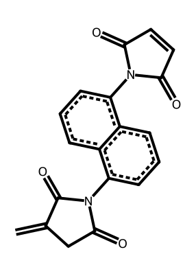 C=C1CC(=O)N(c2cccc3c(N4C(=O)C=CC4=O)cccc23)C1=O